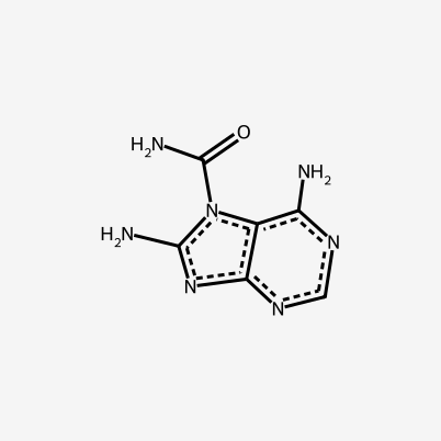 NC(=O)n1c(N)nc2ncnc(N)c21